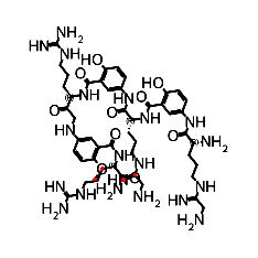 COc1ccc(NCC(=O)[C@@H](CCCNC(=N)N)NC(=O)c2cc(NC(=O)[C@@H](CCCNC(=N)CN)NC(=O)c3cc(NC(=O)[C@H](N)CCCNC(=N)CN)ccc3O)ccc2O)cc1C(=O)N[C@H](CCCNC(=N)N)C(N)=O